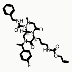 C=CCOC(=O)NCCC[C@H]1C(=O)N(C(C)c2ccc(F)cc2)C[C@H]2N1C(=O)CN(C)N2C(=O)NCc1ccccc1